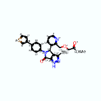 COC(=O)COCc1ncccc1C1c2c(C(C)(C)C)n[nH]c2C(=O)N1c1ccc(-c2ccsc2)cc1